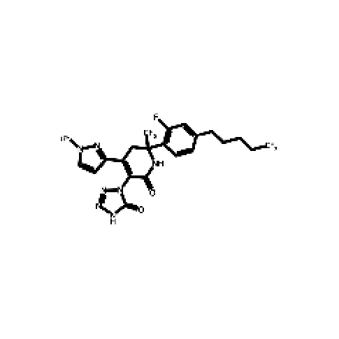 CC(C)n1ccc(C2=C(n3nn[nH]c3=O)C(=O)NC(c3ccc(CCCCC(F)(F)F)cc3F)(C(F)(F)F)C2)n1